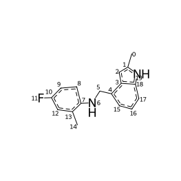 Cc1cc2c(CNc3ccc(F)cc3C)cccc2[nH]1